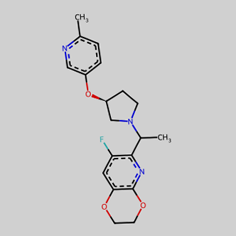 Cc1ccc(O[C@H]2CCN(C(C)c3nc4c(cc3F)OCCO4)C2)cn1